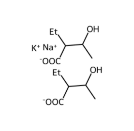 CCC(C(=O)[O-])C(C)O.CCC(C(=O)[O-])C(C)O.[K+].[Na+]